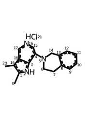 Cc1[nH]c2c(N3CCc4ccccc4C3)cncc2c1C.Cl